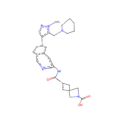 Cn1ncc(-c2ccc3cnc(NC(=O)C4CC5(C4)CN(C(=O)O)C5)cc3c2)c1CN1CCCCC1